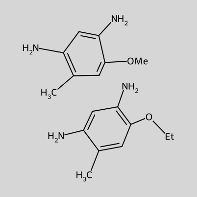 CCOc1cc(C)c(N)cc1N.COc1cc(C)c(N)cc1N